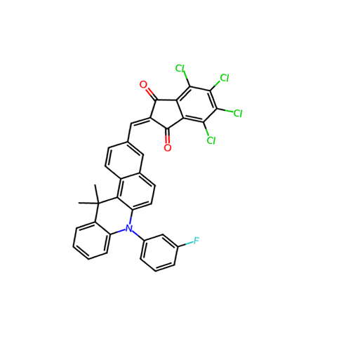 CC1(C)c2ccccc2N(c2cccc(F)c2)c2ccc3cc(C=C4C(=O)c5c(Cl)c(Cl)c(Cl)c(Cl)c5C4=O)ccc3c21